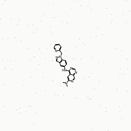 CN(C)c1cc2c(Nc3ccc4c(cnn4Cc4ccccn4)c3)ncnc2cn1